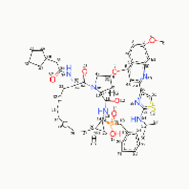 COc1ccc2c(O[C@@H]3C[C@H]4C(=O)N[C@]5(P(=O)(O)Cc6ccccc6)C[C@H]5CCCCCCC[C@H](NC(=O)CC5CCCC5)C(=O)N4C3)cc(-c3csc(NC(C)C)n3)nc2c1